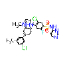 CN(C)[C@H]1C[C@@H](c2cc(Cl)cc(C(F)(F)F)c2)CC[C@@H]1Nc1cc(F)c(S(=O)(=O)Nc2ccncn2)cc1Cl